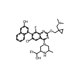 CCC(O)C1CN(c2nc(OCC3(CN(C)C)CC3)nc3c(F)c(-c4cc(O)cc5ccccc45)c(Cl)cc23)CC(C)N1